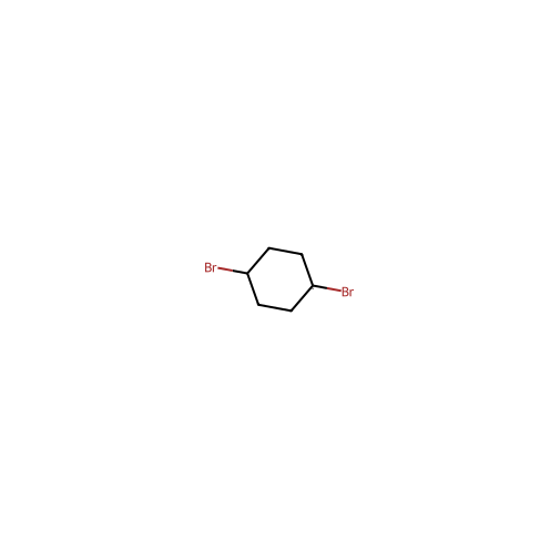 Br[C]1CCC(Br)CC1